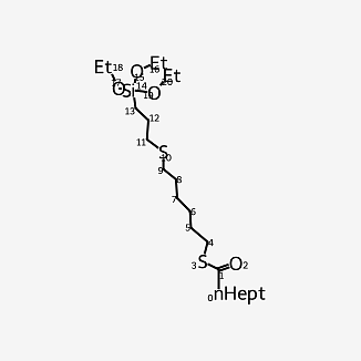 CCCCCCCC(=O)SCCCCCCSCCC[Si](OCC)(OCC)OCC